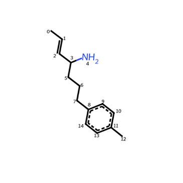 CC=CC(N)CCCc1ccc(C)cc1